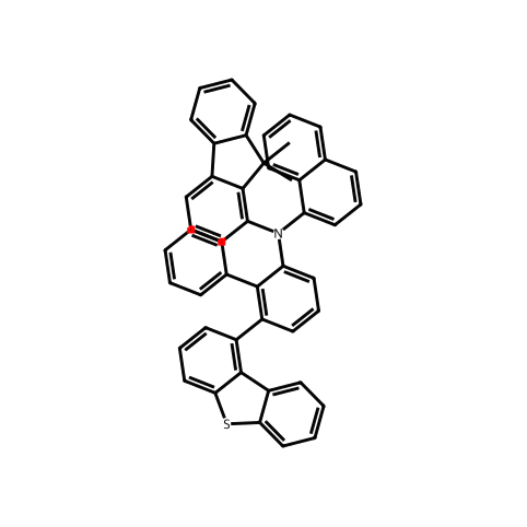 CC1(C)c2ccccc2-c2cccc(N(c3cccc(-c4cccc5sc6ccccc6c45)c3-c3ccccc3)c3cccc4ccccc34)c21